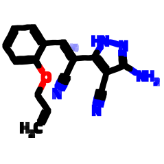 C=CCOc1ccccc1/C=C(\C#N)c1[nH]nc(N)c1C#N